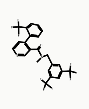 CN(Cc1cc(C(F)(F)F)cc(C(F)(F)F)c1)C(=O)c1cnccc1-c1ccccc1C(F)(F)F